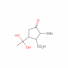 CC(=O)OC1C(=O)CC(C(C)(O)O)C1C(=O)O